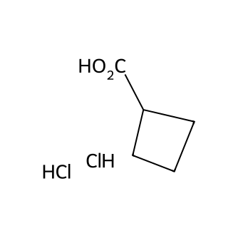 Cl.Cl.O=C(O)C1CCC1